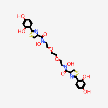 O=C(C1CSC(c2ccc(O)cc2O)=N1)N(O)CCOCCOCCN(O)C(=O)C1CSC(c2ccc(O)cc2O)=N1